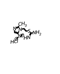 Cc1ncc([N+](=O)[O-])n1CCSC(=N)N.Cl